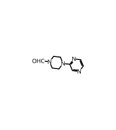 O=CN1CCN(c2cnccn2)CC1